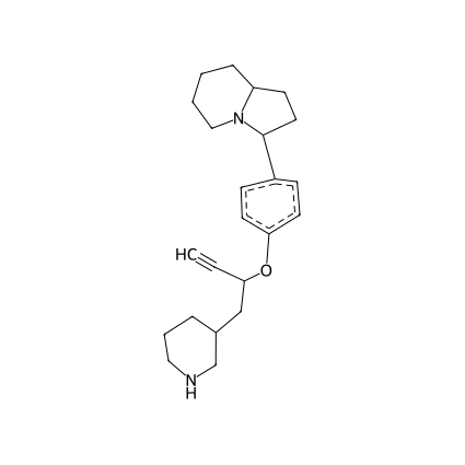 C#CC(CC1CCCNC1)Oc1ccc(C2CCC3CCCCN32)cc1